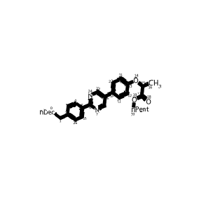 CCCCCCCCCCCc1ccc(-c2ncc(-c3ccc(OC(C)C(=O)OCCCCC)cc3)cn2)cc1